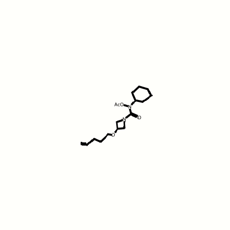 C=CCCCOC1CN(C(=O)N(OC(C)=O)C2CCCCC2)C1